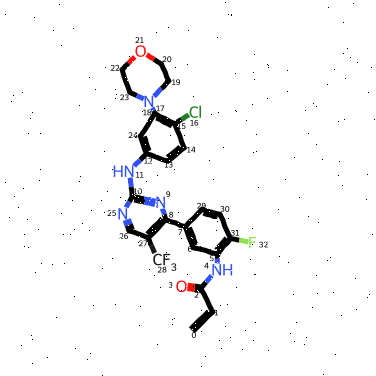 C=CC(=O)Nc1cc(-c2nc(Nc3ccc(Cl)c(N4CCOCC4)c3)ncc2C(F)(F)F)ccc1F